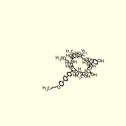 CCCCCOc1ccc(-c2ccc(-c3ccc(C(=O)N[C@H]4C[C@@H](O)C(NCCOC)NC(=O)C5[C@@H](O)[C@@H](C)CN5C(=O)C([C@@H](C)O)NC(=O)C([C@H](O)[C@@H](O)c5ccc(O)cc5)NC(=O)C5C[C@@H](O)CN5C(=O)C([C@@H](C)O)NC4=O)cc3)cc2)cc1